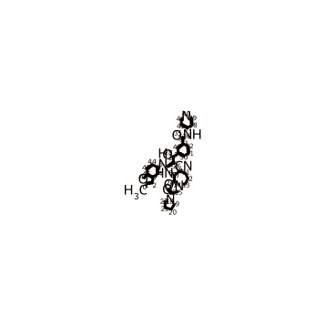 Cc1cc2cc(NC(N[C@H]3CCCCN(CC(=O)N4CCCC4)C3=O)=C(C#N)C(=O)c3cccc(C(=O)Nc4ccncc4)c3)ccc2o1